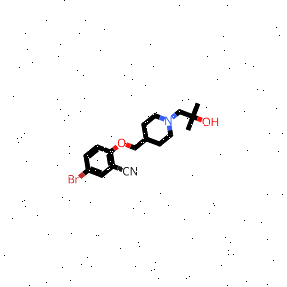 CC(C)(O)CN1CCC(COc2ccc(Br)cc2C#N)CC1